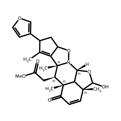 COC(=O)C[C@@H]1[C@@]2(C)C(=O)C=C[C@@]3(C)C(O)O[C@H](C32)N2OC3CC(c4ccoc4)C(C)=C3[C@@]12C